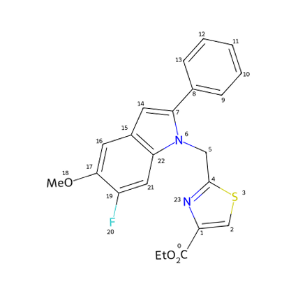 CCOC(=O)c1csc(Cn2c(-c3ccccc3)cc3cc(OC)c(F)cc32)n1